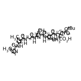 Cn1cc(NC(=O)c2nccn2C)cc1C(=O)NCCC(=O)Nc1cn(C)c(C(=O)Nc2cc(C(=O)NCC3(CC(=O)O)CN(C(=O)OC(C)(C)C)C3)n(C)c2)n1